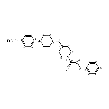 CCOC(=O)c1ccc(N2CCC(CN3CCN(C(=O)OCc4ccccc4)CC3)CC2)cc1